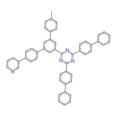 Cc1ccc(-c2cc(-c3ccc(-c4cccnc4)cc3)cc(-c3nc(-c4ccc(-c5ccccc5)cc4)nc(-c4ccc(-c5ccccc5)cc4)n3)c2)cc1